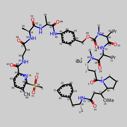 CC[C@H](C)[C@@H](CCC(=O)N1CCCC1C(CC(=O)N[C@H](C)Cc1ccccc1)OC)N(C)C(=O)C(NC(=O)C(C(C)C)N(C)C(=O)OCc1ccc(NC(=O)C(C)NC(=O)[C@H](C)NC(=O)CCNC(=O)c2ccc(C#N)c(S(C)(=O)=O)n2)cc1)C(C)C